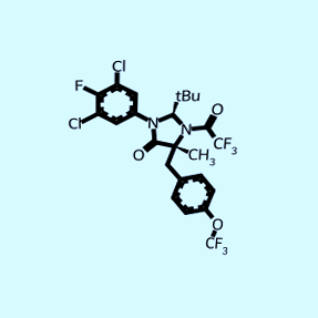 CC(C)(C)[C@@H]1N(c2cc(Cl)c(F)c(Cl)c2)C(=O)[C@@](C)(Cc2ccc(OC(F)(F)F)cc2)N1C(=O)C(F)(F)F